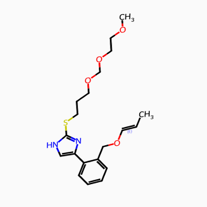 C/C=C/OCc1ccccc1-c1c[nH]c(SCCCOCOCCOC)n1